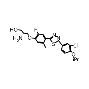 Cc1cc(OC[C@H](N)CO)c(F)cc1-c1nnc(-c2ccc(OC(C)C)c(Cl)c2)s1